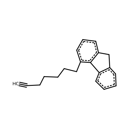 C#CCCCCCc1cccc2c1-c1ccccc1C2